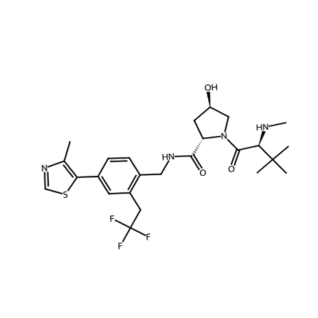 CN[C@H](C(=O)N1C[C@H](O)C[C@H]1C(=O)NCc1ccc(-c2scnc2C)cc1CC(F)(F)F)C(C)(C)C